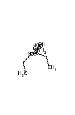 CCCCCCCC/C=C\CCCCCCCC(=O)OC[C@H](COC(=O)[C@@H](N)COP(=O)(O)O)OC(=O)CCCCCCC/C=C\CCCCCCCC